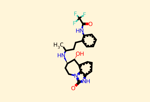 CC(CCc1ccccc1NC(=O)C(F)(F)F)N[C@@H]1CCn2c(=O)[nH]c3cccc(c32)[C@H]1O